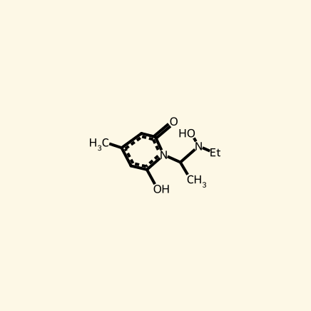 CCN(O)C(C)n1c(O)cc(C)cc1=O